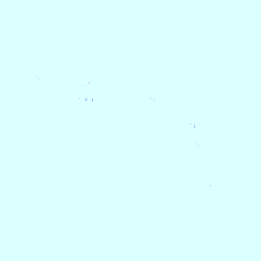 Cc1cnc(Nc2cccc(NC(=O)c3ccc(NC(=O)/C=C/CN(C)C)cc3)c2)nc1-c1c[nH]c2cccc(C)c12